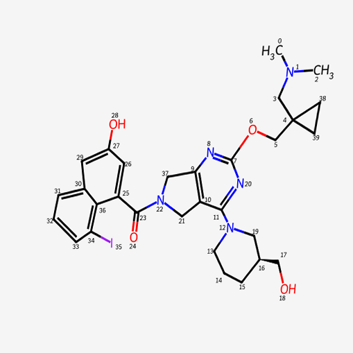 CN(C)CC1(COc2nc3c(c(N4CCC[C@H](CO)C4)n2)CN(C(=O)c2cc(O)cc4cccc(I)c24)C3)CC1